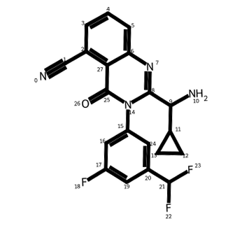 N#Cc1cccc2nc(C(N)C3CC3)n(-c3cc(F)cc(C(F)F)c3)c(=O)c12